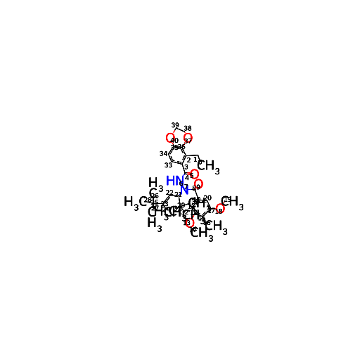 CCc1c(C(=O)NN(C(=O)c2cc(OC)c(C)c(OC)c2)C(/C=C(\C)C(C)(C)C)C(C)(C)C)ccc2c1OCCO2